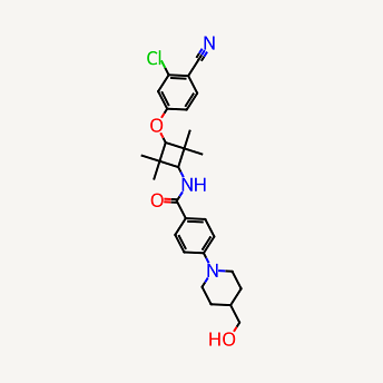 CC1(C)C(NC(=O)c2ccc(N3CCC(CO)CC3)cc2)C(C)(C)C1Oc1ccc(C#N)c(Cl)c1